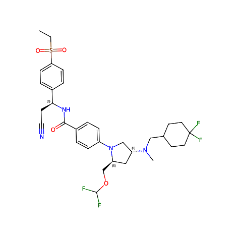 CCS(=O)(=O)c1ccc([C@H](CC#N)NC(=O)c2ccc(N3C[C@H](N(C)CC4CCC(F)(F)CC4)C[C@H]3COC(F)F)cc2)cc1